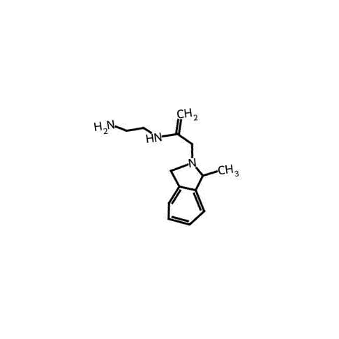 C=C(CN1Cc2ccccc2C1C)NCCN